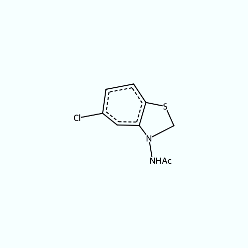 CC(=O)NN1CSc2ccc(Cl)cc21